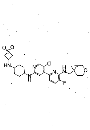 O=S1(=O)CC(NC2CCC(Nc3cc(-c4ccc(F)c(NCC56CCOCC5C6)n4)c(Cl)cn3)CC2)C1